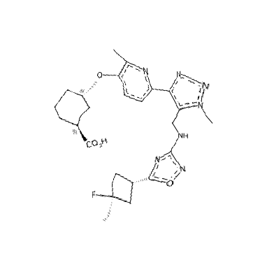 Cc1nc(-c2nnn(C)c2CNc2noc([C@H]3C[C@](C)(F)C3)n2)ccc1O[C@H]1CCC[C@H](C(=O)O)C1